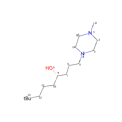 CN1CCN(CCC[C@@H](O)CCCC(C)(C)C)CC1